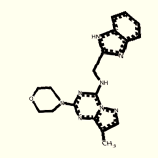 Cc1cnn2c(NCc3nc4ccccc4[nH]3)nc(N3CCOCC3)nc12